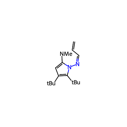 C=C/C=N\n1c(NC)cc(C(C)(C)C)c1C(C)(C)C